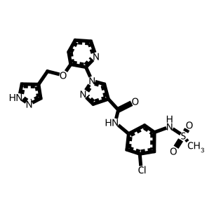 CS(=O)(=O)Nc1cc(Cl)cc(NC(=O)c2cnn(-c3ncccc3OCc3cn[nH]c3)c2)c1